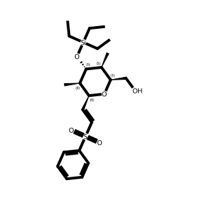 CC[Si](CC)(CC)O[C@@H]1[C@@H](C)[C@@H](CO)O[C@@H](C=CS(=O)(=O)c2ccccc2)[C@H]1C